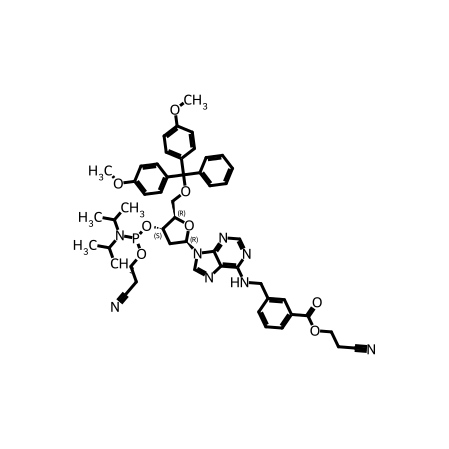 COc1ccc(C(OC[C@H]2O[C@@H](n3cnc4c(NCc5cccc(C(=O)OCCC#N)c5)ncnc43)C[C@@H]2OP(OCCC#N)N(C(C)C)C(C)C)(c2ccccc2)c2ccc(OC)cc2)cc1